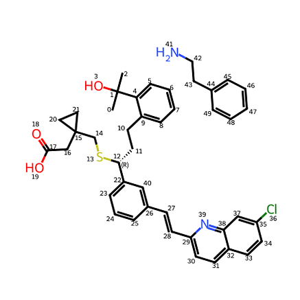 CC(C)(O)c1ccccc1CC[C@@H](SCC1(CC(=O)O)CC1)c1cccc(C=Cc2ccc3ccc(Cl)cc3n2)c1.NCCc1ccccc1